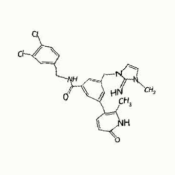 Cc1[nH]c(=O)ccc1-c1cc(Cn2ccn(C)c2=N)cc(C(=O)NCc2ccc(Cl)c(Cl)c2)c1